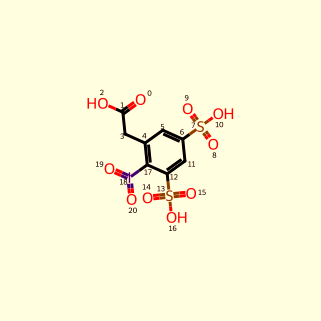 O=C(O)Cc1cc(S(=O)(=O)O)cc(S(=O)(=O)O)c1I(=O)=O